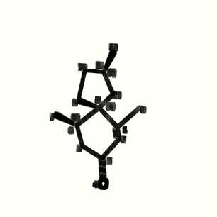 CC1=CC(=O)C[C@@H](C)[C@@]12CC[C@@H](C)C2